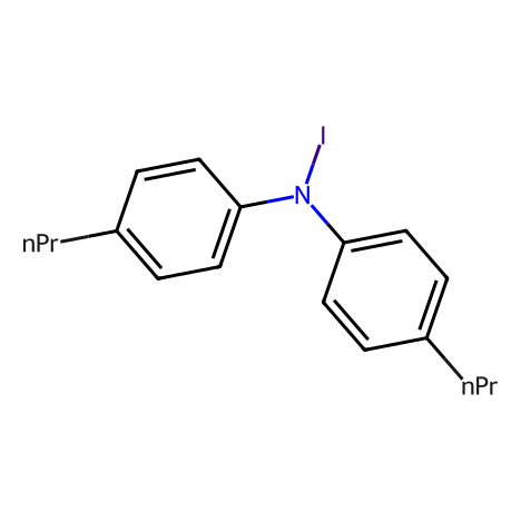 CCCc1ccc(N(I)c2ccc(CCC)cc2)cc1